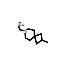 CCC(C)CN1CCC2(CC1)CC(C)C2